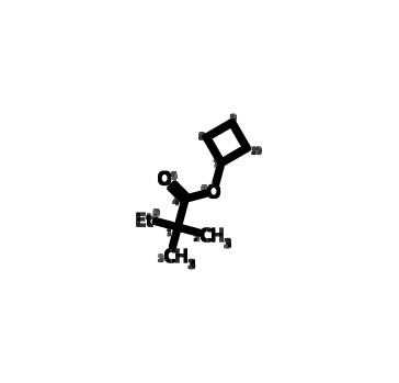 CCC(C)(C)C(=O)OC1CCC1